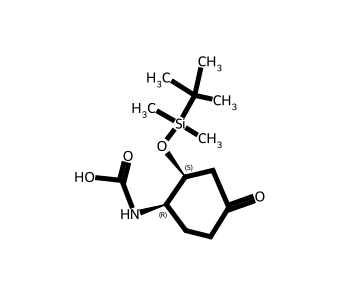 CC(C)(C)[Si](C)(C)O[C@H]1CC(=O)CC[C@H]1NC(=O)O